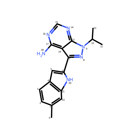 Cc1ccc2cc(-c3nn(C(C)C)c4ncnc(N)c34)[nH]c2c1